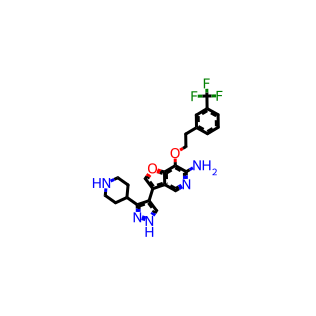 Nc1ncc2c(-c3c[nH]nc3C3CCNCC3)coc2c1OCCc1cccc(C(F)(F)F)c1